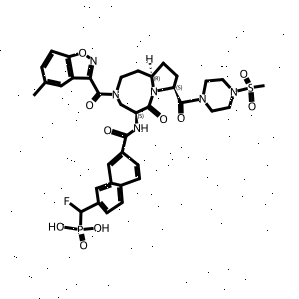 Cc1ccc2onc(C(=O)N3CC[C@H]4CC[C@@H](C(=O)N5CCN(S(C)(=O)=O)CC5)N4C(=O)[C@@H](NC(=O)c4ccc5ccc(C(F)P(=O)(O)O)cc5c4)C3)c2c1